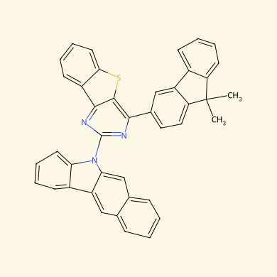 CC1(C)c2ccccc2-c2cc(-c3nc(-n4c5ccccc5c5cc6ccccc6cc54)nc4c3sc3ccccc34)ccc21